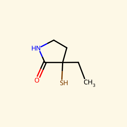 CCC1(S)CCNC1=O